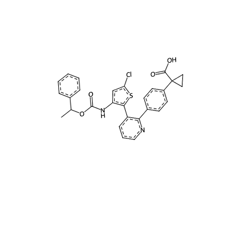 CC(OC(=O)Nc1cc(Cl)sc1-c1cccnc1-c1ccc(C2(C(=O)O)CC2)cc1)c1ccccc1